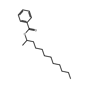 CCCCCCCCCCC(C)OC(=O)c1ccccc1